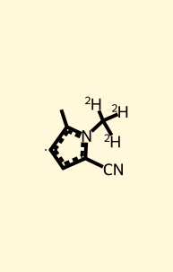 [2H]C([2H])([2H])n1c(C)[c]cc1C#N